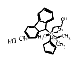 Cl.Cl.[CH2]=[Zr]([CH3])([CH2]CO)([C]1=CC=CC1)([CH]1c2ccccc2-c2ccccc21)[SiH](C)C